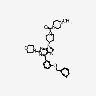 CN1CCN(C(=O)N2CCC(n3cnc4c(-c5cccc(OCc6ccccc6)c5)nc(N5CCOCC5)nc43)CC2)CC1